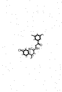 Cc1cc(C)cc(C(=O)CNC(Br)CC(C)c2ccc(Cl)cc2)c1